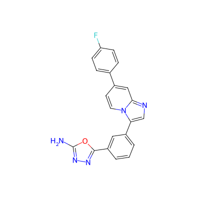 Nc1nnc(-c2cccc(-c3cnc4cc(-c5ccc(F)cc5)ccn34)c2)o1